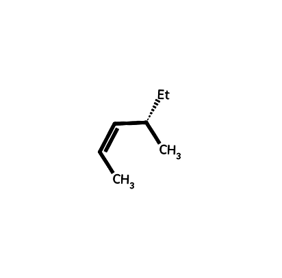 C/C=C\[C@@H](C)CC